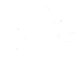 OCC1=C(c2ccc3ccsc3c2)N2CCN=C2S1